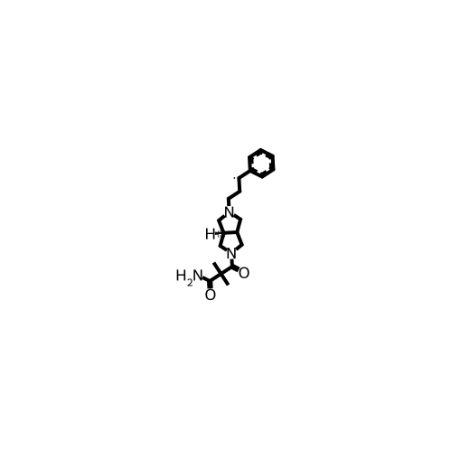 CC(C)(C(N)=O)C(=O)N1CC2CN(CC[CH]c3ccccc3)C[C@H]2C1